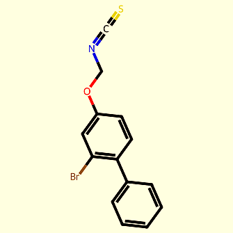 S=C=NCOc1ccc(-c2ccccc2)c(Br)c1